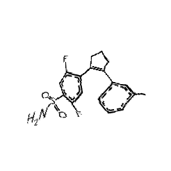 Cc1cccc(C2=C(c3cc(F)c(S(N)(=O)=O)cc3F)CCC2)c1